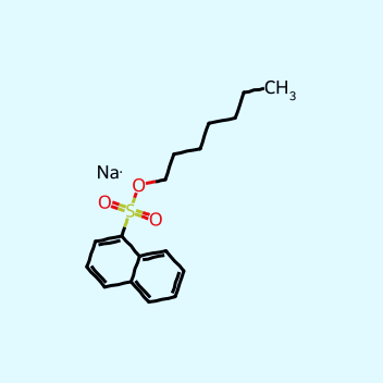 CCCCCCCOS(=O)(=O)c1cccc2ccccc12.[Na]